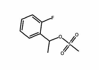 CC(OS(C)(=O)=O)c1ccccc1F